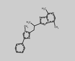 Cc1ncc(C)n2nc(C(C)Cc3nc(-c4ccccc4)cn3C)nc12